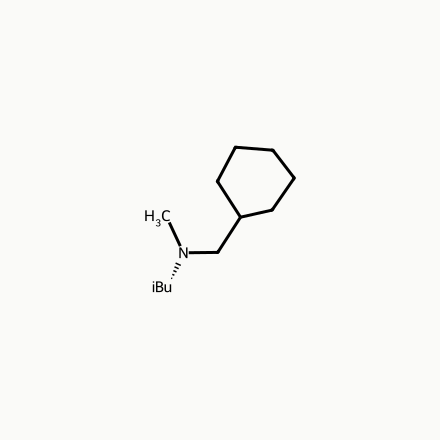 CC[C@@H](C)N(C)CC1CCCCC1